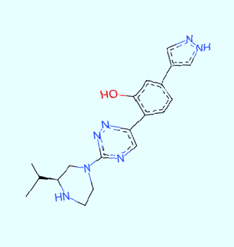 CC(C)[C@H]1CN(c2ncc(-c3ccc(-c4cn[nH]c4)cc3O)nn2)CCN1